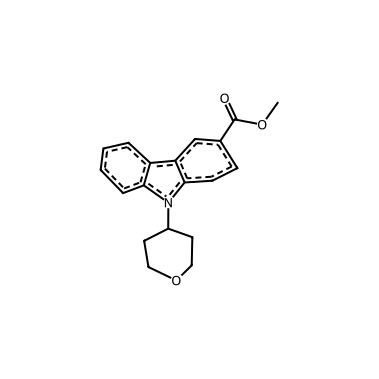 COC(=O)c1ccc2c(c1)c1ccccc1n2C1CCOCC1